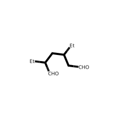 CCC(C=O)CC(CC)CC=O